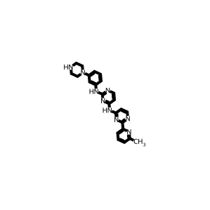 Cc1cccc(-c2nccc(Nc3ccnc(Nc4cccc(N5CCNCC5)c4)n3)n2)n1